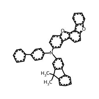 CC1(C)c2ccccc2-c2ccc(N(c3ccc(-c4ccccc4)cc3)c3ccc4oc5c(ccc6oc7ccccc7c65)c4c3)cc21